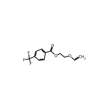 C=COCCOC(=O)c1ccc(C(F)(F)F)cc1